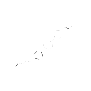 C=CCOCc1ccc([C@H]2CC[C@H]([C@H]3CC[C@H](C=CCC)CC3)CC2)cc1